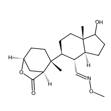 CO/N=C/[C@@H]1[C@@H]([C@@]2(C)CC[C@H]3C[C@@H]2C(=O)O3)CC[C@]2(C)C(O)CC[C@@H]12